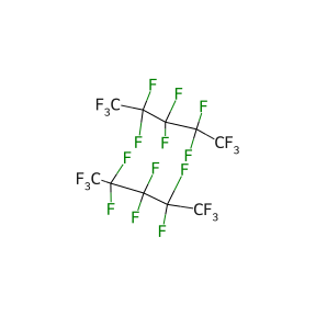 FC(F)(F)C(F)(F)C(F)(F)C(F)(F)C(F)(F)F.FC(F)(F)C(F)(F)C(F)(F)C(F)(F)C(F)(F)F